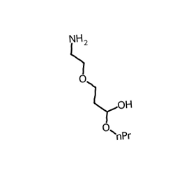 [CH2]CCOC(O)CCOCCN